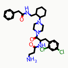 NCCC(=O)NC(Cc1ccc(Cl)cc1Cl)C(=O)N1CCN(C2CCCCC2CNC(=O)Cc2ccccc2)CC1